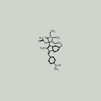 CCOC(=O)C(OC(C)=O)(C1=C(C)/C(=C/c2ccc([S+](C)[O-])cc2)c2ccc(F)cc21)N(CC)CC